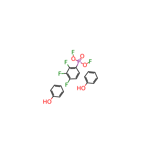 O=P(OF)(OF)c1ccc(F)c(F)c1F.Oc1ccccc1.Oc1ccccc1